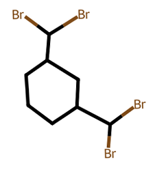 BrC(Br)C1CCCC(C(Br)Br)C1